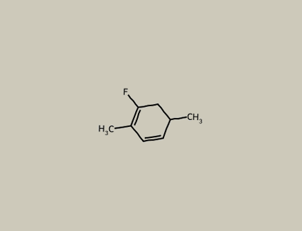 CC1=C(F)CC(C)C=C1